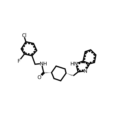 O=C(NCc1ccc(Cl)cc1F)[C@H]1CC[C@@H](Cc2nc3ccccc3[nH]2)CC1